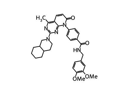 COc1ccc(CNC(=O)c2ccc(-n3c(=O)ccc4c(C)nc(N5CCC6CCCCC6C5)nc43)cc2)cc1OC